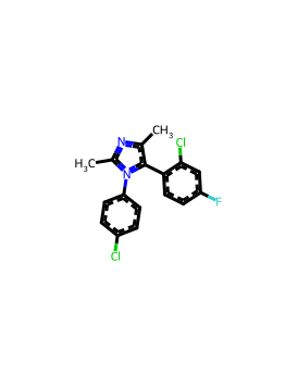 Cc1nc(C)n(-c2ccc(Cl)cc2)c1-c1ccc(F)cc1Cl